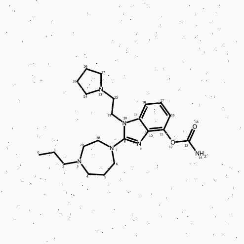 CCCN1CCCN(c2nc3c(OC(N)=O)cccc3n2CCN2CCCC2)CC1